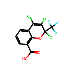 O=C(O)c1cccc2c1OC(Cl)(C(F)(F)F)C(Cl)=C2Cl